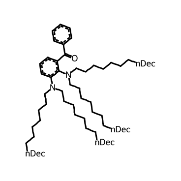 CCCCCCCCCCCCCCCCCN(CCCCCCCCCCCCCCCCC)c1cccc(C(=O)c2ccccc2)c1N(CCCCCCCCCCCCCCCCC)CCCCCCCCCCCCCCCCC